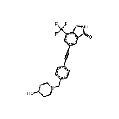 O=C1NCc2c1cc(C#Cc1ccc(CN3CCC(O)CC3)cc1)cc2C(F)(F)F